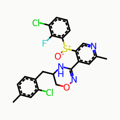 Cc1ccc(CC2CON=C(c3cc(C)ncc3[S+]([O-])c3cccc(Cl)c3F)N2)c(Cl)c1